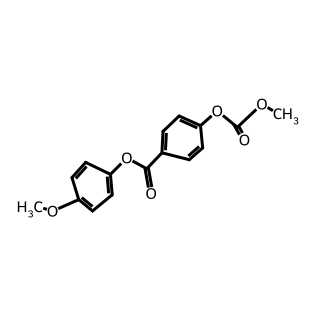 COC(=O)Oc1ccc(C(=O)Oc2ccc(OC)cc2)cc1